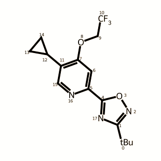 CC(C)(C)c1noc(-c2cc(OCC(F)(F)F)c(C3CC3)cn2)n1